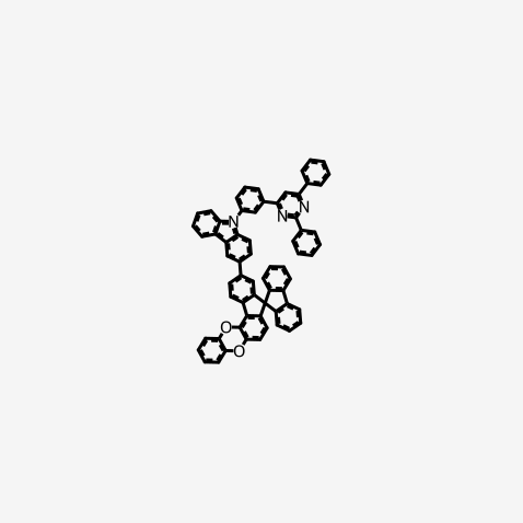 c1ccc(-c2cc(-c3cccc(-n4c5ccccc5c5cc(-c6ccc7c(c6)C6(c8ccccc8-c8ccccc86)c6ccc8c(c6-7)Oc6ccccc6O8)ccc54)c3)nc(-c3ccccc3)n2)cc1